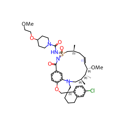 COCCOC1CCN(C(=O)N[S@@]2(=O)=NC(=O)c3ccc4c(c3)N(C[C@H](C)[C@@H](C)[C@@H](OC)/C=C/C[C@H](C)C2)C[C@@]2(CCCc3cc(Cl)ccc32)CO4)CC1